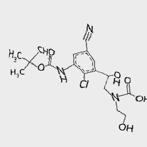 CC(C)(C)OC(=O)Nc1cc(C#N)cc(C(O)CN(CCO)C(=O)O)c1Cl